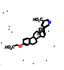 C[C@]12CCC3c4ccc(OCC(=O)O)cc4CCC3C1CC=C2c1cncc(C(=O)O)c1